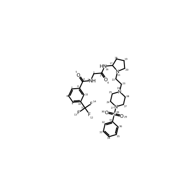 O=C(CNC(=O)c1cccc(C(F)(F)F)c1)NC1CCCN1CCN1CCN(S(=O)(=O)c2ccccc2)CC1